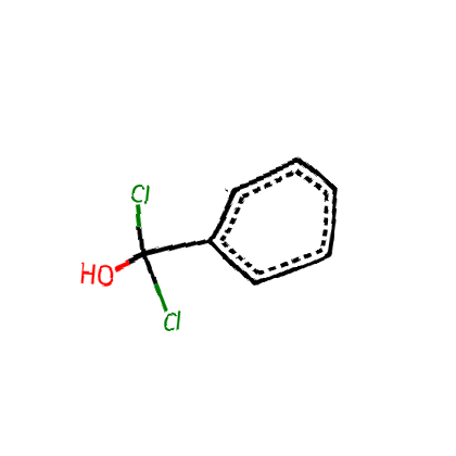 OC(Cl)(Cl)c1[c]cccc1